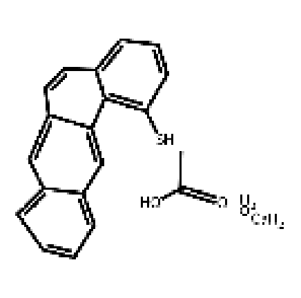 CC(=O)O.O.Sc1cccc2ccc3cc4ccccc4cc3c12.[CaH2]